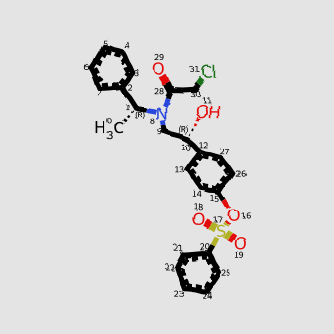 C[C@H](c1ccccc1)N(C[C@H](O)c1ccc(OS(=O)(=O)c2ccccc2)cc1)C(=O)CCl